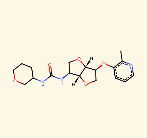 Cc1ncccc1O[C@H]1CO[C@H]2[C@@H]1OC[C@@H]2NC(=O)NC1CCCOC1